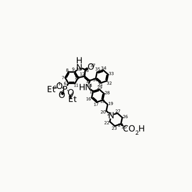 CCOP(=O)(OCC)c1ccc2c(c1)C(=C(Nc1ccc(CCN3CCC(C(=O)O)CC3)cc1)c1ccccc1)C(=O)N2